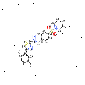 Cc1ccc(C)c(-c2csc(NCc3ccc(S(=O)(=O)N4CCCCC4)cc3)n2)c1